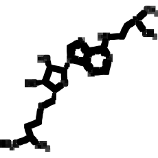 CN(C)CCNc1ncnc2c1ncn2[C@@H]1O[C@H](CSCCC(N)C(=O)O)[C@@H](O)[C@H]1O